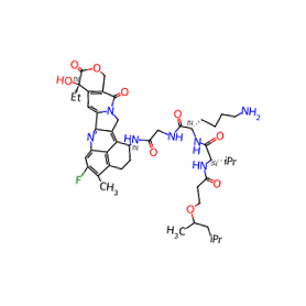 CC[C@@]1(O)C(=O)OCc2c1cc1n(c2=O)Cc2c-1nc1cc(F)c(C)c3c1c2[C@@H](NC(=O)CNC(=O)[C@H](CCCCN)NC(=O)[C@@H](NC(=O)CCOC(C)CC(C)C)C(C)C)CC3